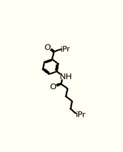 CC(C)CCCCC(=O)Nc1cccc(C(=O)C(C)C)c1